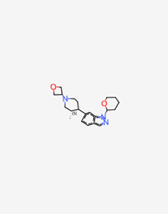 C[C@@H]1CN(C2COC2)CCC1c1ccc2cnn(C3CCCCO3)c2c1